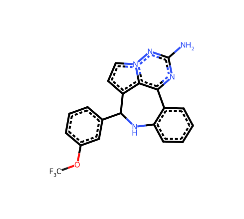 Nc1nc2c3c(ccn3n1)C(c1cccc(OC(F)(F)F)c1)Nc1ccccc1-2